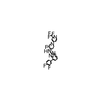 Fc1ccc(-c2cccn3nc(N[C@H]4CCN(c5ccnc(C(F)(F)F)c5)C[C@H]4F)nc23)cc1F